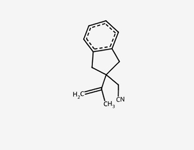 C=C(C)C1(CC#N)Cc2ccccc2C1